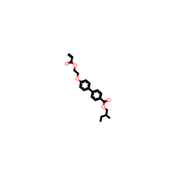 C=CC(=O)OCCOc1ccc(-c2ccc(C(=O)OCC(C)CC)cc2)cc1